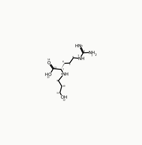 N=C(N)NCCC[C@H](NCCCO)C(=O)O